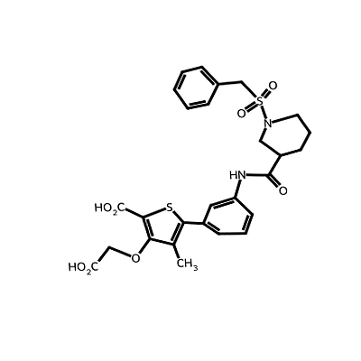 Cc1c(-c2cccc(NC(=O)C3CCCN(S(=O)(=O)Cc4ccccc4)C3)c2)sc(C(=O)O)c1OCC(=O)O